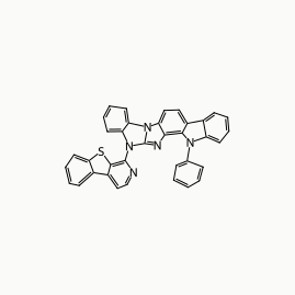 c1ccc(-n2c3ccccc3c3ccc4c(nc5n(-c6nccc7c6sc6ccccc67)c6ccccc6n45)c32)cc1